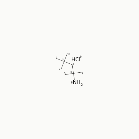 CC(C)(C)CC(C)(C)N.Cl